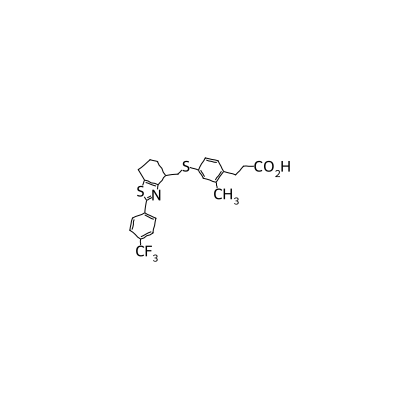 Cc1cc(SCC2CCCc3sc(-c4ccc(C(F)(F)F)cc4)nc32)ccc1CCC(=O)O